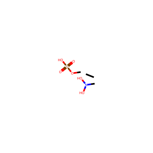 CC.CN(O)O.COS(=O)(=O)O